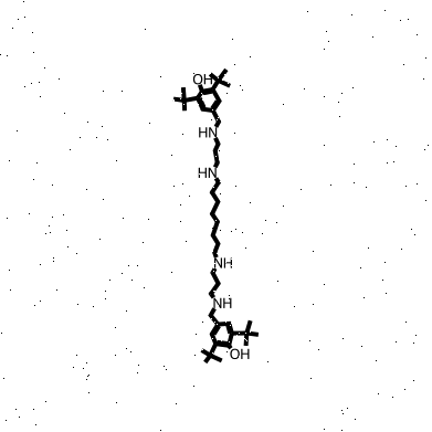 CC(C)(C)c1cc(CNCCCNCCCCCCCCNCCCNCc2cc(C(C)(C)C)c(O)c(C(C)(C)C)c2)cc(C(C)(C)C)c1O